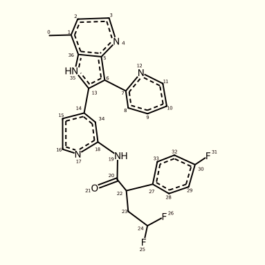 Cc1ccnc2c(-c3ccccn3)c(-c3ccnc(NC(=O)C(CC(F)F)c4ccc(F)cc4)c3)[nH]c12